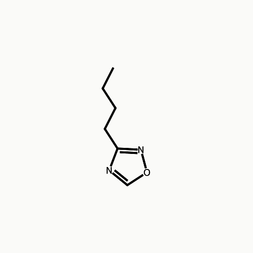 CCCCc1ncon1